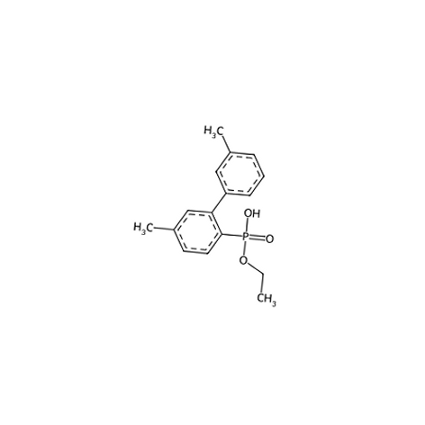 CCOP(=O)(O)c1ccc(C)cc1-c1cccc(C)c1